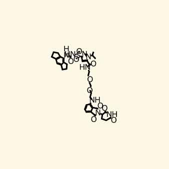 CC(C)n1nc(S(=O)(=O)NC(=O)Nc2c3c(cc4c2CCC4)CCC3)cc1C(=O)NCCOCCOCCNc1cccc2c1C(=O)N(C1CCC(=O)NC1=O)C2=O